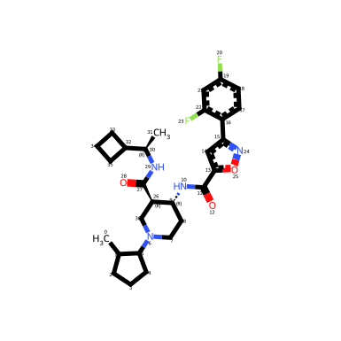 CC1CCCC1N1CC[C@@H](NC(=O)c2cc(-c3ccc(F)cc3F)no2)[C@H](C(=O)N[C@H](C)C2CCC2)C1